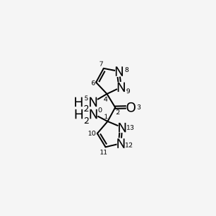 NC1(C(=O)C2(N)C=CN=N2)C=CN=N1